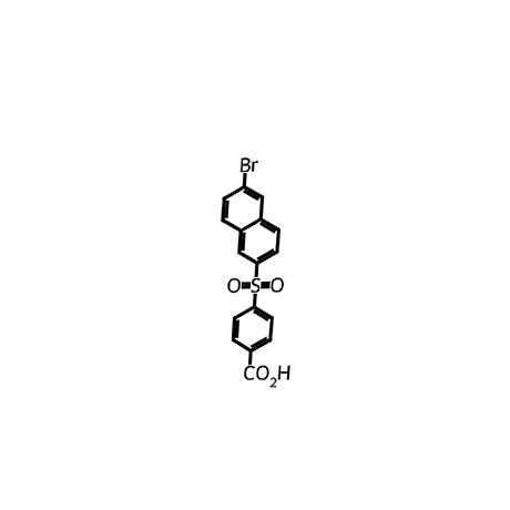 O=C(O)c1ccc(S(=O)(=O)c2ccc3cc(Br)ccc3c2)cc1